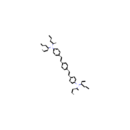 C=C/C=C(\C=C)N(C(=C)/C=C\C)c1ccc(/C=C/c2ccc(/C=C/c3ccc(N(/C(C)=C/C=C)C(/C=C\C)=C/C=C)cc3)cc2)cc1